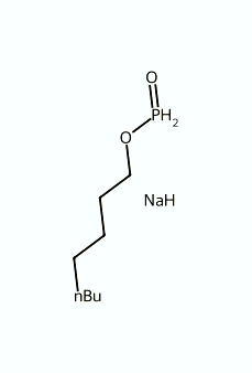 CCCCCCCCO[PH2]=O.[NaH]